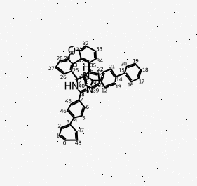 c1ccc(-c2ccc(C3=NC(c4ccc(-c5ccccc5)cc4)NC(c4cccc5oc6cccc(-c7ccccc7)c6c45)N3)cc2)cc1